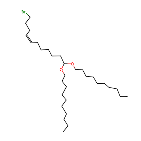 CCCCCCCCCCOC(CCCCC/C=C\CCCBr)OCCCCCCCCCC